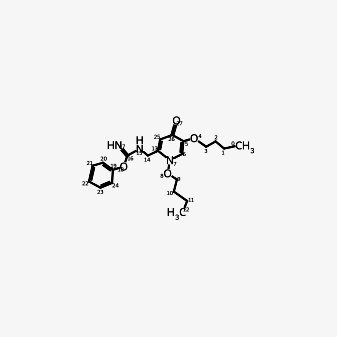 CCCCOc1cn(OCCCC)c(CNC(=N)Oc2ccccc2)cc1=O